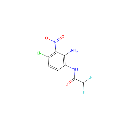 Nc1c(NC(=O)C(F)F)ccc(Cl)c1[N+](=O)[O-]